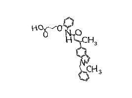 C/C(=C\C(=O)Nc1ccccc1OCCCC(=O)O)c1ccc2c(ccn2Cc2ccccc2C)c1